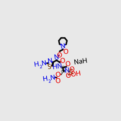 NC(=O)OC[C@@H]1[C@H](NC(=O)C(=NOCC(=O)N2CCCCCC2)c2csc(N)n2)C(=O)N1S(=O)(=O)O.[NaH]